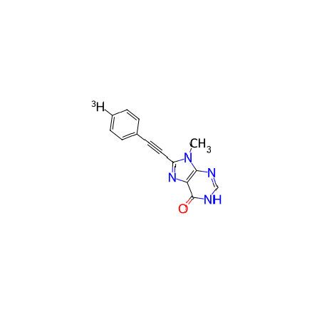 [3H]c1ccc(C#Cc2nc3c(=O)[nH]cnc3n2C)cc1